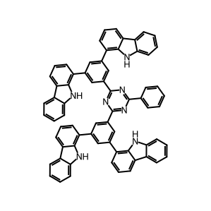 c1ccc(-c2nc(-c3cc(-c4cccc5c4[nH]c4ccccc45)cc(-c4cccc5c4[nH]c4ccccc45)c3)nc(-c3cc(-c4cccc5c4[nH]c4ccccc45)cc(-c4cccc5c4[nH]c4ccccc45)c3)n2)cc1